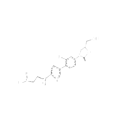 CCN(CC)CCNc1ccc(-c2ccc(N3CC(CO)OC3=O)cc2F)cn1